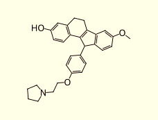 COc1ccc2c(c1)C1=C(c3ccc(O)cc3CC1)C2c1ccc(OCCN2CCCC2)cc1